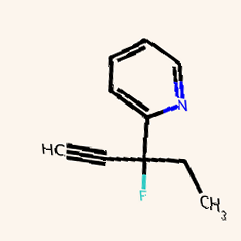 C#CC(F)(CC)c1ccccn1